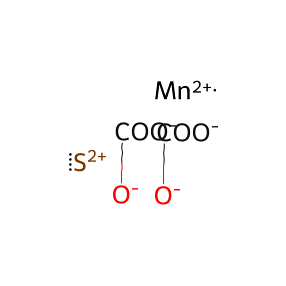 O=C([O-])[O-].O=C([O-])[O-].[Mn+2].[S+2]